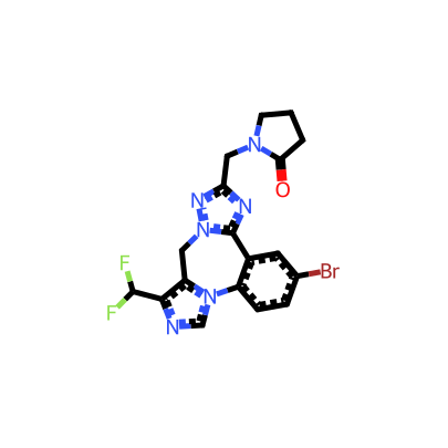 O=C1CCCN1Cc1nc2n(n1)Cc1c(C(F)F)ncn1-c1ccc(Br)cc1-2